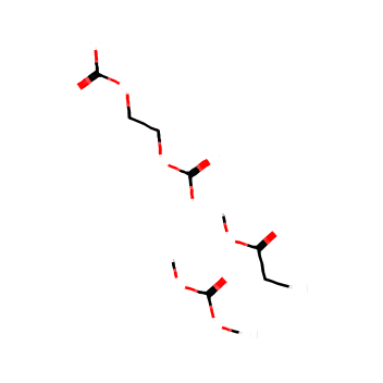 CCC(=O)OC.COC(=O)OC.O=C(O)OCCOC(=O)O